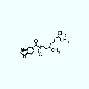 CC(C)CCCC(C)CCN1C(=O)c2cc3nsnc3cc2C1=O